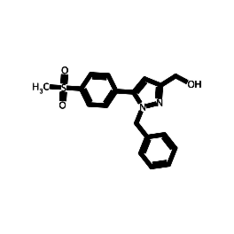 CS(=O)(=O)c1ccc(-c2cc(CO)nn2Cc2ccccc2)cc1